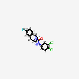 O=C(Nc1ccc(Cl)c(Cl)c1)N1C2CCC1c1ccc(F)cc1C2